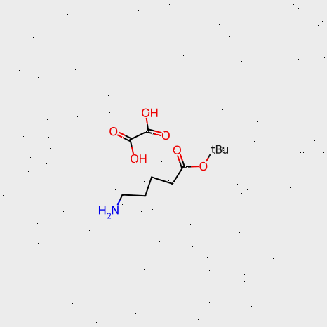 CC(C)(C)OC(=O)CCCCN.O=C(O)C(=O)O